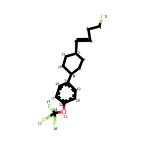 FCC/C=C/C1CCC(c2ccc(OC(F)(F)F)cc2)CC1